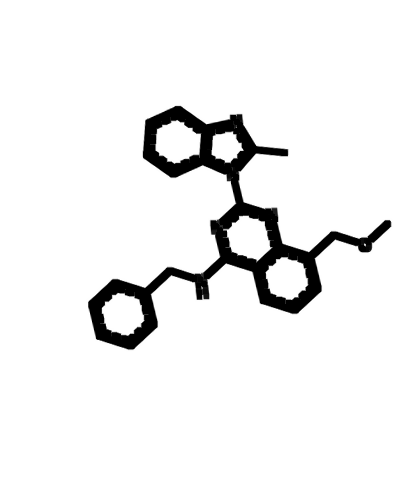 COCc1cccc2c(NCc3ccccc3)nc(-n3c(C)nc4ccccc43)nc12